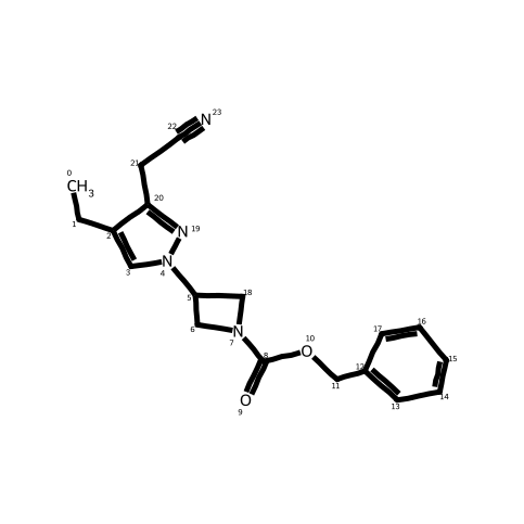 CCc1cn(C2CN(C(=O)OCc3ccccc3)C2)nc1CC#N